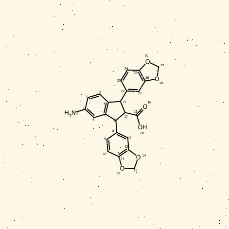 Nc1ccc2c(c1)C(c1ccc3c(c1)OCO3)C(C(=O)O)C2c1ccc2c(c1)OCO2